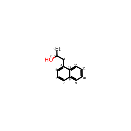 CCC(O)Cc1cccc2ccccc12